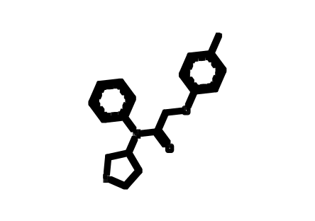 Cc1ccc(OCC(=O)N(c2ccccc2)C2CCSC2)cc1